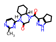 Cc1nccc(N2C(=O)CN(C(=O)c3n[nH]c4c3CCC4)[C@H]3CCCC[C@@H]32)n1